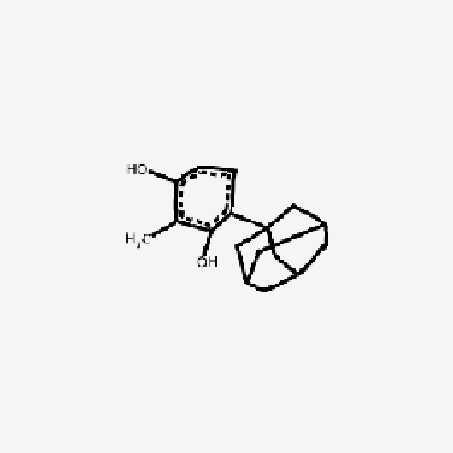 Cc1c(O)ccc(C23CC4CC(CC(C4)C2)C3)c1O